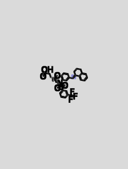 O=C(O)CC[C@H]1CN(S(=O)(=O)c2cccc(C(F)(F)F)c2)c2cc(/C=C3\CCCc4ccccc43)ccc2O1